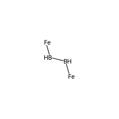 [Fe][BH][BH][Fe]